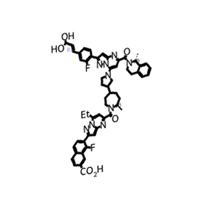 CCc1cc(C(=O)N2CCC(C3CCN(c4cc(C(=O)N5CCc6ccccc6[C@H]5C)nc5cc(-c6ccc(/C=C/C(O)O)cc6F)nn45)C3)CC[C@H]2C)nc2cc(-c3ccc4ccc(C(=O)O)cc4c3F)nn12